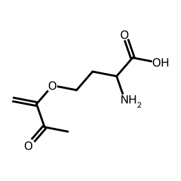 C=C(OCCC(N)C(=O)O)C(C)=O